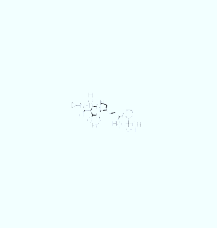 CC(C)Cn1c(=O)c(C(=O)NC2CC2)c(O)n2ncc(C=CC(=O)N3CCCC3C(C)(C)O)c12